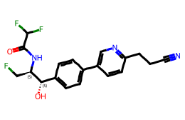 N#CCCc1ccc(-c2ccc([C@H](O)[C@@H](CF)NC(=O)C(F)F)cc2)cn1